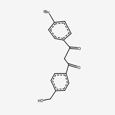 CC(C)(C)c1ccc(C(=O)CC(=O)c2ccc(CO)cc2)cc1